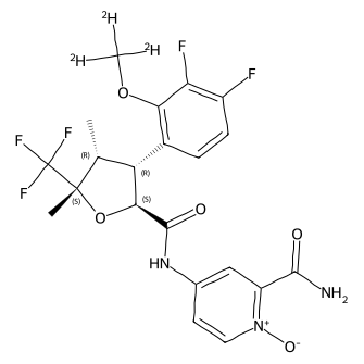 [2H]C([2H])([2H])Oc1c([C@@H]2[C@@H](C(=O)Nc3cc[n+]([O-])c(C(N)=O)c3)O[C@](C)(C(F)(F)F)[C@@H]2C)ccc(F)c1F